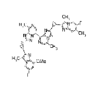 COc1cc(F)cn2c(C)c(C3C[C@@H]3c3nc4c(C)ncc(-c5ncc(C)n6nc(C7CC7c7nc8cc(C)c(F)cn8c7C)nc56)n4n3)nc12